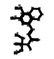 CCOP(=O)(OCC)C(C)C(=O)/C=C/c1cc(C(C)(C)C)c(OC)c2c1CCCC2